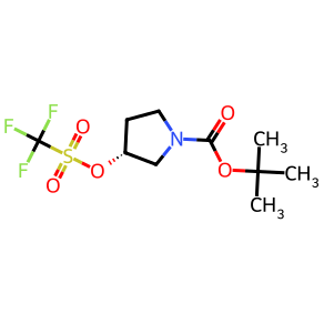 CC(C)(C)OC(=O)N1CC[C@@H](OS(=O)(=O)C(F)(F)F)C1